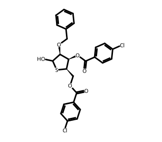 O=C(OC[C@H]1SC(O)[C@@H](OCc2ccccc2)[C@H]1OC(=O)c1ccc(Cl)cc1)c1ccc(Cl)cc1